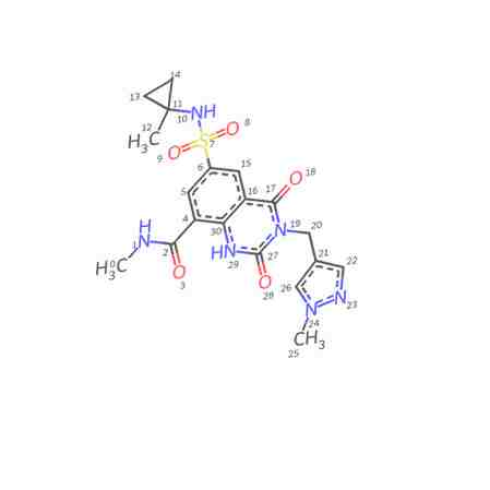 CNC(=O)c1cc(S(=O)(=O)NC2(C)CC2)cc2c(=O)n(Cc3cnn(C)c3)c(=O)[nH]c12